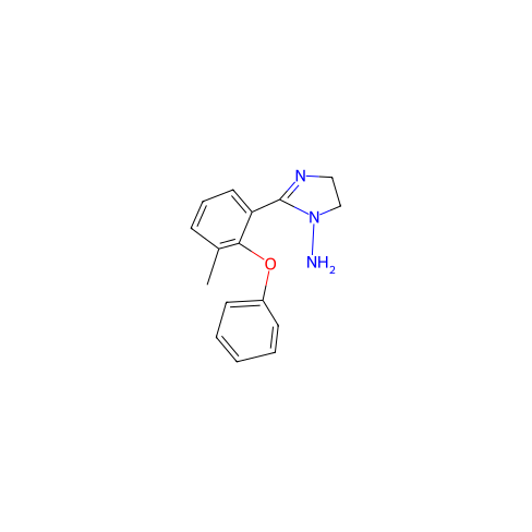 Cc1cccc(C2=NCCN2N)c1Oc1ccccc1